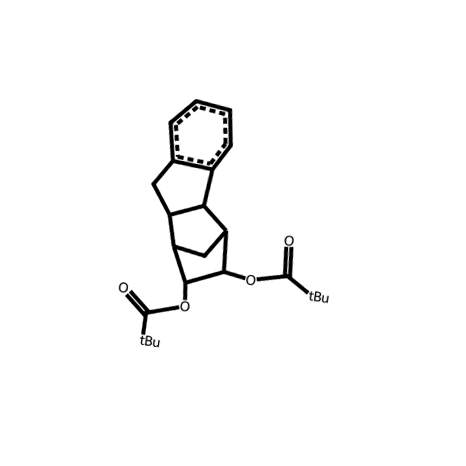 CC(C)(C)C(=O)OC1C2CC(C1OC(=O)C(C)(C)C)C1c3ccccc3CC21